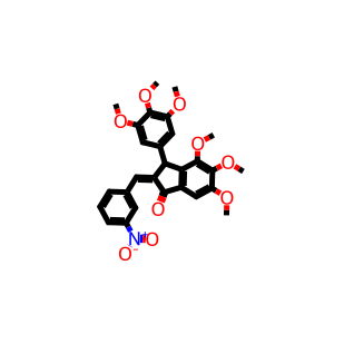 COc1cc(C2C(=Cc3cccc([N+](=O)[O-])c3)C(=O)c3cc(OC)c(OC)c(OC)c32)cc(OC)c1OC